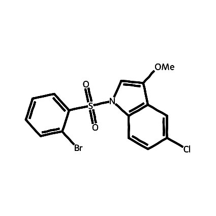 COc1cn(S(=O)(=O)c2ccccc2Br)c2ccc(Cl)cc12